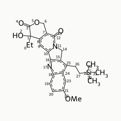 CCC1(O)C(=O)OCc2c1cc1n(c2=O)Cc2c-1nc1ccc(OC)cc1c2CC[Si](C)(C)C